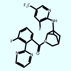 O=C(c1cccc(F)c1-c1ncccn1)N1CC2CCC1C(Nc1ncc(C(F)(F)F)cc1F)C2